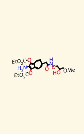 CCOC(=O)Oc1c2ccc(CC(=O)NOCC(O)COC)ccc-2c(OC(=O)OCC)c1N